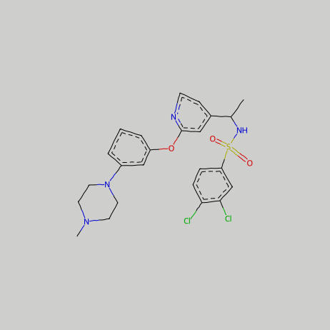 CC(NS(=O)(=O)c1ccc(Cl)c(Cl)c1)c1ccnc(Oc2cccc(N3CCN(C)CC3)c2)c1